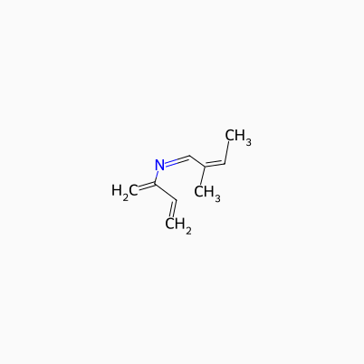 C=CC(=C)/N=C\C(C)=C/C